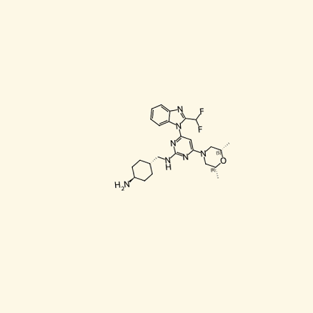 C[C@@H]1CN(c2cc(-n3c(C(F)F)nc4ccccc43)nc(NC[C@H]3CC[C@H](N)CC3)n2)C[C@H](C)O1